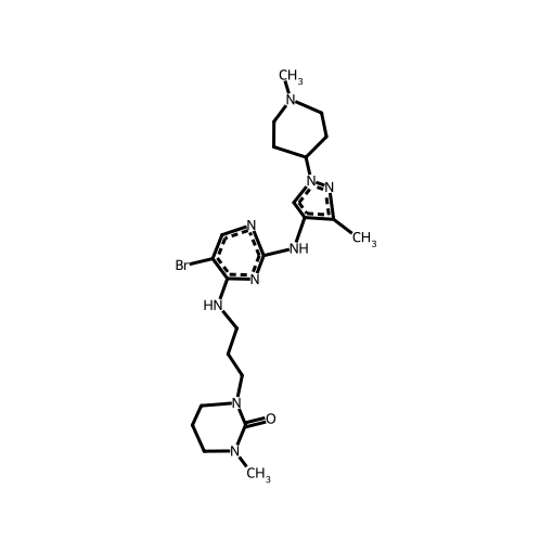 Cc1nn(C2CCN(C)CC2)cc1Nc1ncc(Br)c(NCCCN2CCCN(C)C2=O)n1